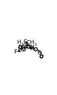 CC(C)Oc1cc2nn(C3CCC(COCc4ccccc4)CC3)cc2cc1C(=O)Nc1cccn([C@@H]2C[C@@H]2F)c1=O